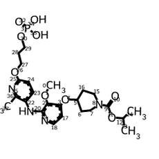 COc1c(OC2CCN(C(=O)OC(C)C)CC2)ccnc1Nc1ccc(OCCCOP(=O)(O)O)nc1C